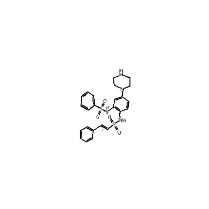 O=S(=O)(/C=C/c1ccccc1)Nc1ccc(N2CCNCC2)cc1NS(=O)(=O)c1ccccc1